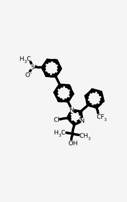 C[S+]([O-])c1cccc(-c2ccc(-n3c(-c4ccccc4C(F)(F)F)nc(C(C)(C)O)c3Cl)cc2)c1